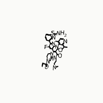 C=CC(=O)N1CCN(c2c(C(=O)NCCN(C)C)c(=O)n(-c3c(C)ccnc3C(C)C)c3nc(-c4cccc5sc(N)nc45)c(F)cc23)CC1